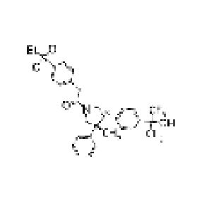 CCS(=O)(=O)c1ccc(CC(=O)N2C[C@H](c3ccc(C(O)(C(F)(F)F)C(F)(F)F)cc3)[C@](C)(c3ccccc3)C2)cc1